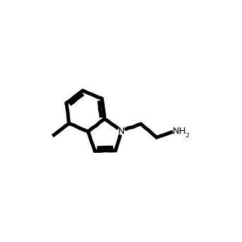 CC1C=CC=C2C1C=CN2CCN